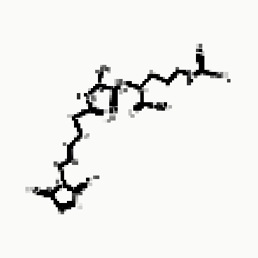 CNC(=O)[C@H](CCCNC(N)=O)NC(=O)[C@@H](NC(=O)CCCCCN1C(=O)C=CC1=O)C(C)C